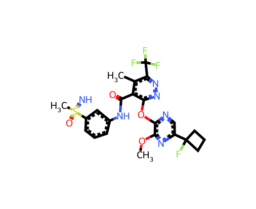 COc1nc(C2(F)CCC2)cnc1Oc1nnc(C(F)(F)F)c(C)c1C(=O)Nc1cccc(S(C)(=N)=O)c1